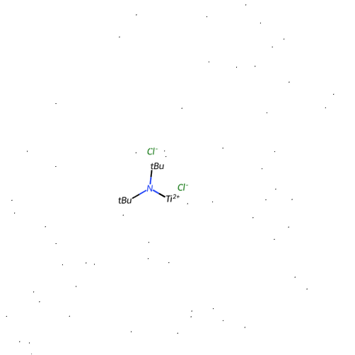 CC(C)(C)[N]([Ti+2])C(C)(C)C.[Cl-].[Cl-]